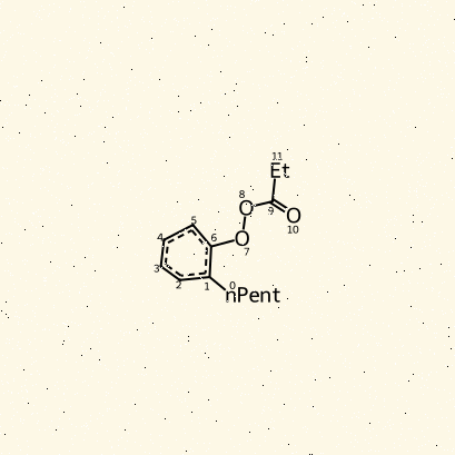 CCCCCc1ccccc1OOC(=O)CC